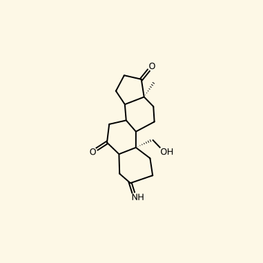 C[C@]12CCC3C(CC(=O)C4CC(=N)CC[C@@]43CO)C1CCC2=O